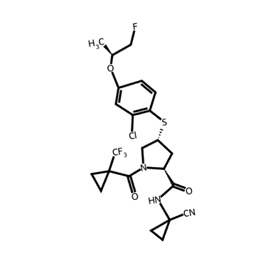 C[C@@H](CF)Oc1ccc(S[C@@H]2C[C@@H](C(=O)NC3(C#N)CC3)N(C(=O)C3(C(F)(F)F)CC3)C2)c(Cl)c1